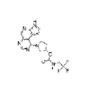 CN(CC(F)(F)F)C(=O)OC1CCN(c2ncnc3cnc4[nH]ccc4c23)C1